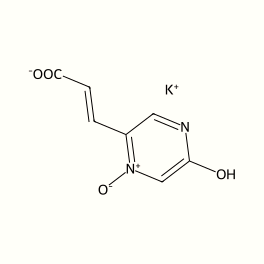 O=C([O-])C=Cc1cnc(O)c[n+]1[O-].[K+]